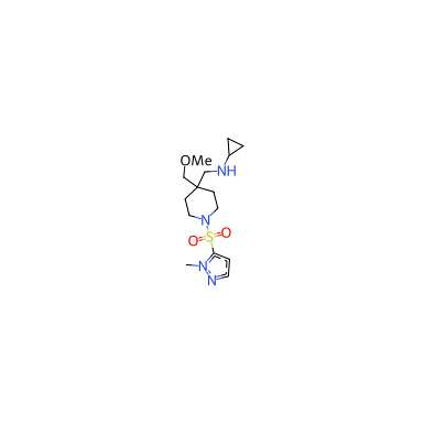 COCC1(CNC2CC2)CCN(S(=O)(=O)c2ccnn2C)CC1